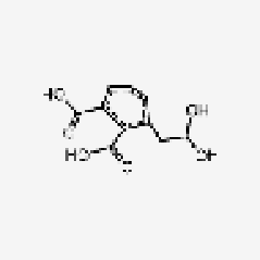 O=C(O)c1cccc(CC(O)O)c1C(=O)O